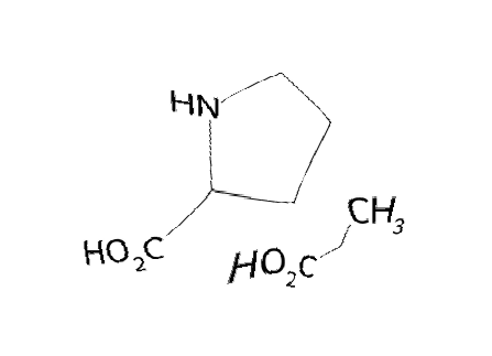 CC(=O)O.O=C(O)C1CCCN1